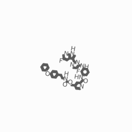 O=C(NCCc1ccc(Oc2ccccc2)cc1)OCc1ccnc(C(=O)N[C@H]2CCC[C@@H](Nc3nc(-c4c[nH]c5ncc(F)cc45)ncc3F)C2)c1